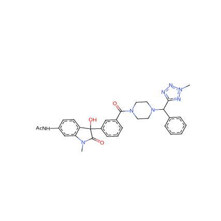 CC(=O)Nc1ccc2c(c1)N(C)C(=O)C2(O)c1cccc(C(=O)N2CCN(C(c3ccccc3)c3nnn(C)n3)CC2)c1